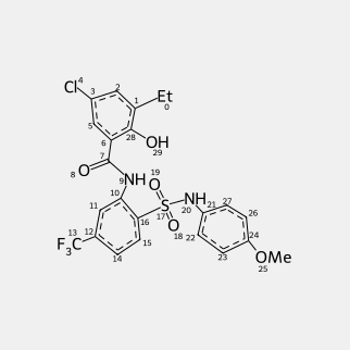 CCc1cc(Cl)cc(C(=O)Nc2cc(C(F)(F)F)ccc2S(=O)(=O)Nc2ccc(OC)cc2)c1O